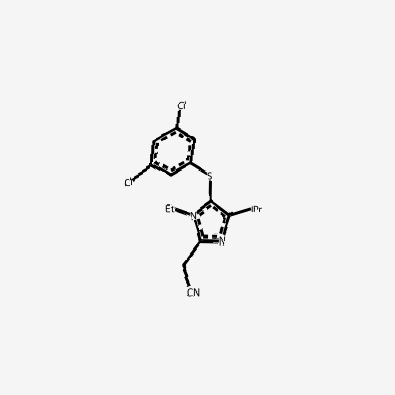 CCn1c(CC#N)nc(C(C)C)c1Sc1cc(Cl)cc(Cl)c1